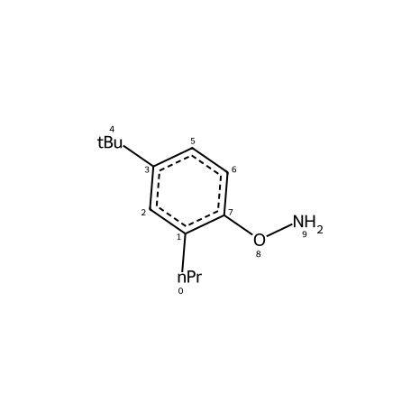 CCCc1cc(C(C)(C)C)ccc1ON